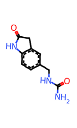 NC(=O)NCc1ccc2c(c1)CC(=O)N2